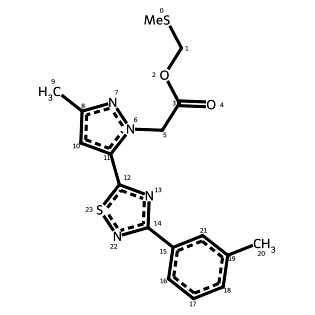 CSCOC(=O)Cn1nc(C)cc1-c1nc(-c2cccc(C)c2)ns1